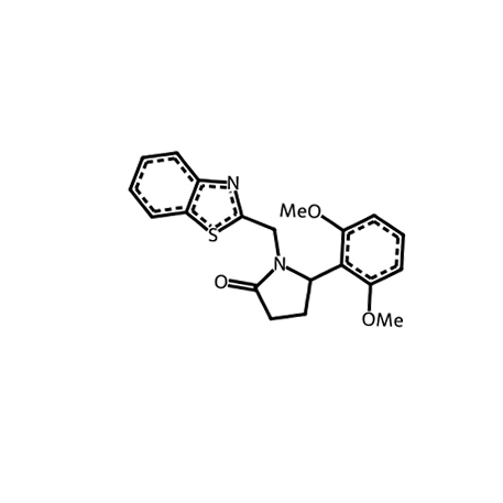 COc1cccc(OC)c1C1CCC(=O)N1Cc1nc2ccccc2s1